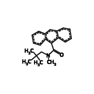 CN(CC(C)(C)C)C(=O)c1c2ccccc2cc2ccccc12